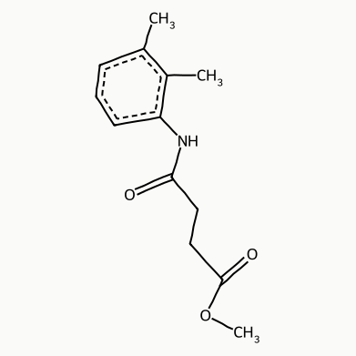 COC(=O)CCC(=O)Nc1cccc(C)c1C